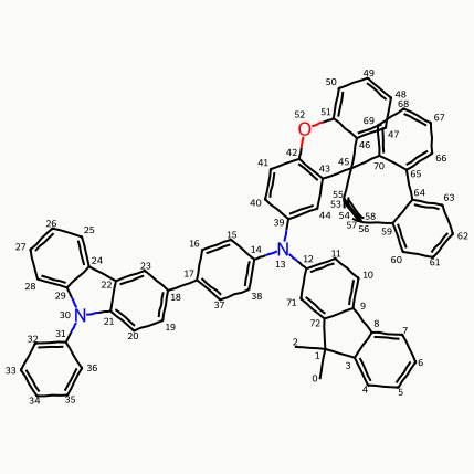 CC1(C)c2ccccc2-c2ccc(N(c3ccc(-c4ccc5c(c4)c4ccccc4n5-c4ccccc4)cc3)c3ccc4c(c3)C3(c5ccccc5O4)c4ccccc4-c4ccccc4-c4ccccc43)cc21